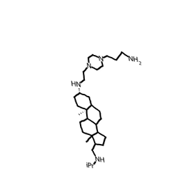 CC(C)NCC1CCC2C3CCC4C[C@@H](NCCN5CCN(CCCN)CC5)CC[C@]4(C)C3CCC12C